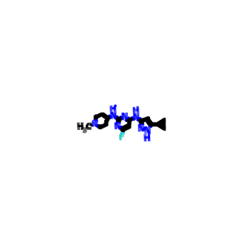 CN1CCC(Nc2nc(F)cc(Nc3cc(C4CC4)[nH]n3)n2)CC1